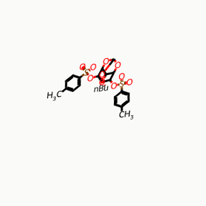 CCCCOC1C2OC3OC1C(OS(=O)(=O)c1ccc(C)cc1)C(O3)C2OS(=O)(=O)c1ccc(C)cc1